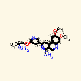 COc1cc2ncc3c(N)nc(-c4cncc(OCC(C)N)c4)cc3c2cc1OC